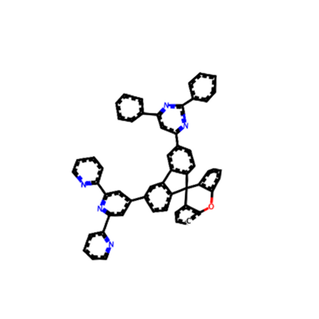 c1ccc(-c2cc(-c3ccc4c(c3)-c3cc(-c5cc(-c6ccccn6)nc(-c6ccccn6)c5)ccc3C43c4ccccc4Oc4ccccc43)nc(-c3ccccc3)n2)cc1